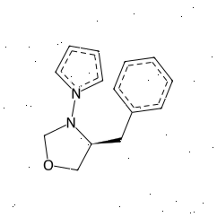 c1ccc(C[C@H]2COCN2n2cccc2)cc1